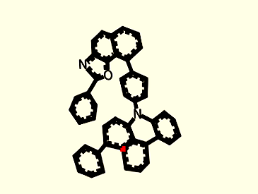 c1ccc(-c2ccc(N(c3ccc(-c4cccc5ccc6nc(-c7ccccc7)oc6c45)cc3)c3ccccc3-c3ccccc3)cc2)cc1